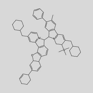 Cc1cc2c(cc1-c1ccccc1)C(C1c3ccc4c(c3-c3cc(CC5CCCCC5)cc[n+]31)OC1C=C(C3C=CCCC3)C=CC41)[N+]1=C2C=C(CC2CCCCC2)C([Si](C)(C)C)C1